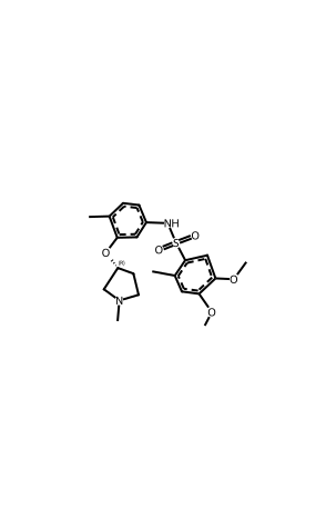 COc1cc(C)c(S(=O)(=O)Nc2ccc(C)c(O[C@@H]3CCN(C)C3)c2)cc1OC